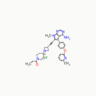 C=CC(=O)N1CC[C@@H](N2CC(C#Cc3c(-c4ccc(Oc5cccc(C)n5)cc4)c4c(N)ncnc4n3C)C2)[C@@H](F)C1